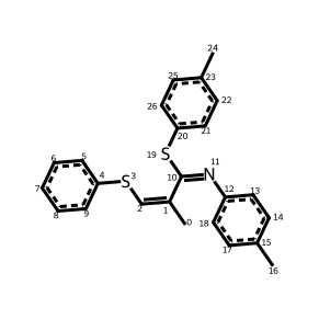 CC(=CSc1ccccc1)C(=Nc1ccc(C)cc1)Sc1ccc(C)cc1